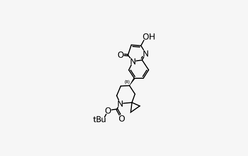 CC(C)(C)OC(=O)N1CC[C@@H](c2ccc3nc(O)cc(=O)n3c2)CC12CC2